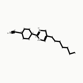 CCCCCCCC1=COC(C2CCC(C#N)CC2)=NC1